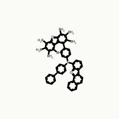 Bc1c(B)c(B)c2c(oc3c(B)c(B)c(B)c(-c4ccc(N(c5ccc(-c6ccccc6)cc5)c5cccc6c5oc5c7ccccc7ccc65)cc4)c32)c1B